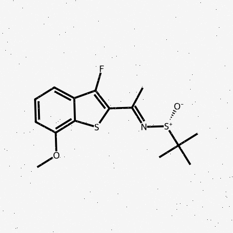 COc1cccc2c(F)c(/C(C)=N/[S@+]([O-])C(C)(C)C)sc12